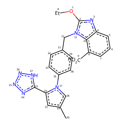 CCOc1nc2cccc(C(=O)O)c2n1Cc1ccc(-n2cc(C)cc2-c2nnn[nH]2)cc1